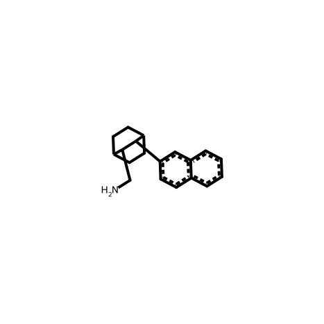 NCC1C2CCC(CC2)C1c1ccc2ccccc2c1